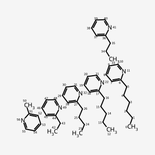 CCCCCCc1ccccn1.CCCCCc1ccccn1.CCCCc1ccccn1.CCCc1ccccn1.CCc1ccccn1.Cc1ccccn1